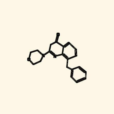 O=C1CC(N2CCOCC2)=Nc2c(Cc3ccccc3)cccc21